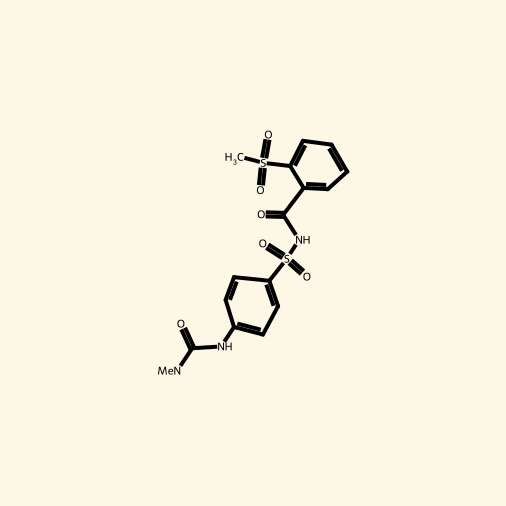 CNC(=O)Nc1ccc(S(=O)(=O)NC(=O)c2ccccc2S(C)(=O)=O)cc1